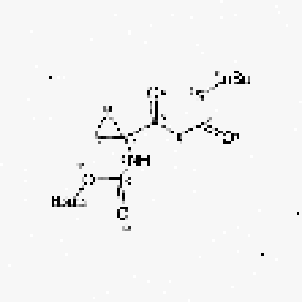 CCCCSC(=O)CC(=O)C1(NC(=O)OC(C)(C)C)CC1